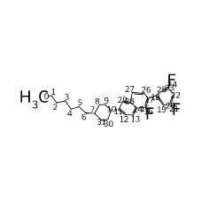 CCCCCCC[C@H]1CC[C@H](c2ccc3c(F)c(-c4cc(F)cc(F)c4)ccc3c2)CC1